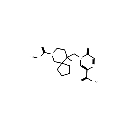 COC(=O)c1cn(CC2(O)CCN(C(=O)OC(C)(C)C)CC23CCCC3)c(=O)cn1